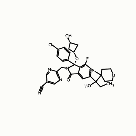 CCC(O)(c1cc(F)c2c(c1)C(=O)N(Cc1ncc(C#N)cn1)[C@@]2(O[C@H]1C[C@@H](O)C1)c1ccc(Cl)cc1)C1(F)CCOCC1